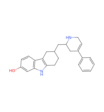 Oc1ccc2c3c([nH]c2c1)CCC(CC1CC(c2ccccc2)=CCN1)C3